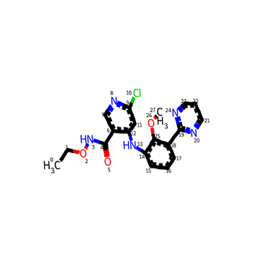 CCONC(=O)c1cnc(Cl)cc1Nc1cccc(-c2ncccn2)c1OC